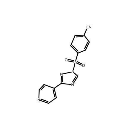 N#Cc1ccc(S(=O)(=O)n2cnc(-c3ccncc3)n2)cc1